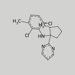 Cc1ccc(Cl)c(NC2(c3ncccn3)CCCC2C)c1Cl